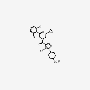 O=C(CN(CCC1CC1)C(=O)c1cnn(C2CCC(C(=O)O)CC2)c1C(F)(F)F)c1c(Cl)cncc1Cl